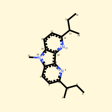 CCC(C)c1ccc2c(n1)c1nc(C(C)CC)ccc1n2C